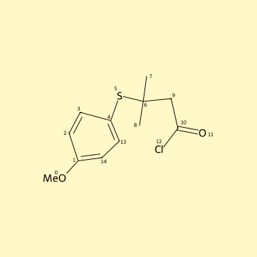 COc1ccc(SC(C)(C)CC(=O)Cl)cc1